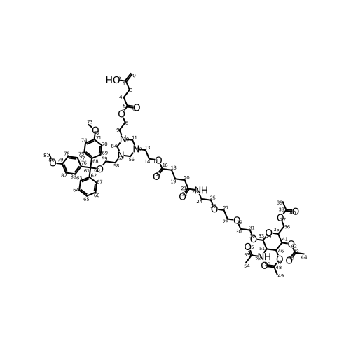 C=C(O)CCC(=O)OCCN1CN(CCOC(=O)CCCC(=O)NCCOCCOCCOC2OC(COC(C)=O)C(OC(C)=O)C(OC(C)=O)C2NC(C)=O)CN(CCOC(c2ccccc2)(c2ccc(OC)cc2)c2ccc(OC)cc2)C1